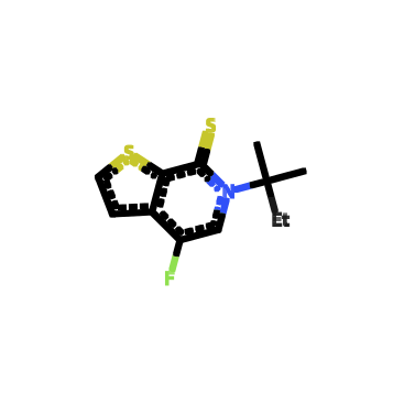 CCC(C)(C)n1cc(F)c2ccsc2c1=S